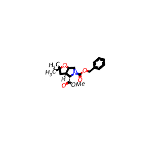 COC(=O)[C@@H]1[C@H]2CC(C)(C)OC2CN1C(=O)OCc1ccccc1